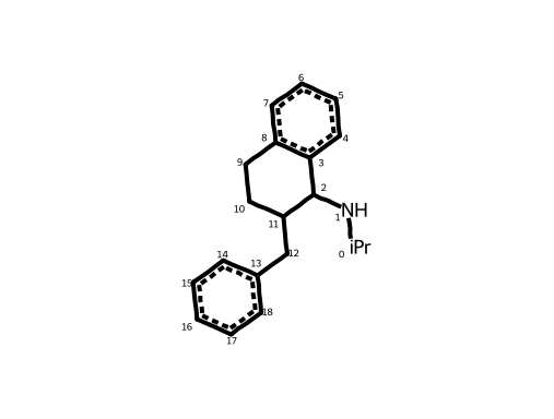 CC(C)NC1c2ccccc2CCC1Cc1ccccc1